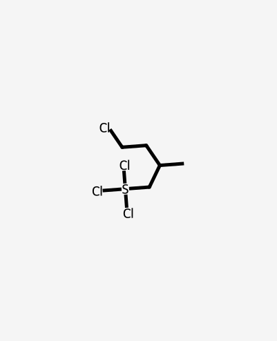 CC(CCCl)CS(Cl)(Cl)Cl